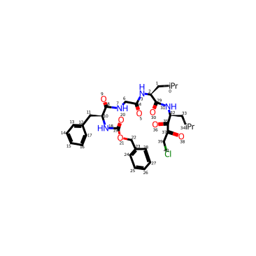 CC(C)C[C@H](NC(=O)CNC(=O)[C@H](Cc1ccccc1)NC(=O)OCc1ccccc1)C(=O)N[C@@H](CC(C)C)C(=O)C(=O)CCl